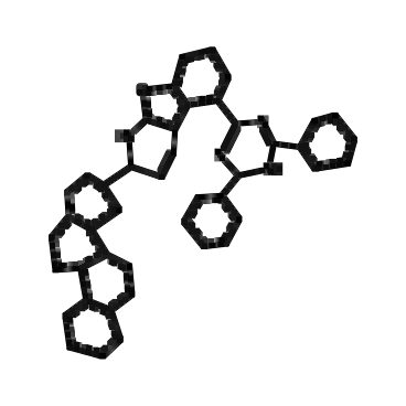 C1=CC(c2ccc3ccc4c5ccccc5ccc4c3c2)Nc2oc3cccc(C4=NC(c5ccccc5)NC(c5ccccc5)=N4)c3c21